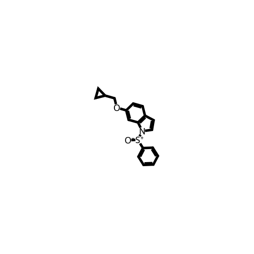 [O-][S+](c1ccccc1)n1ccc2ccc(OCC3CC3)cc21